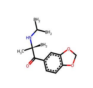 BC(B)N[C@@](B)(C)C(=O)c1ccc2c(c1)OCO2